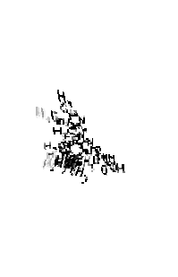 COc1c(C)cnc(Cn2nc3c4c(nc(OC(=O)NC(=O)O)nc42)SC(C(C)(C)C)(C(C)(C)C)C(=O)C3(C)C)c1C